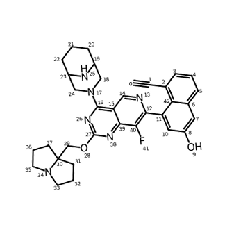 C#Cc1cccc2cc(O)cc(-c3ncc4c(N5CC6CCCC(C5)N6)nc(OCC56CCCN5CCC6)nc4c3F)c12